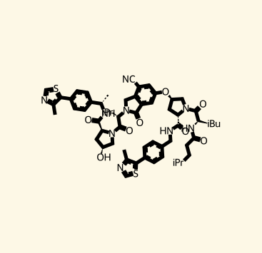 CC[C@H](C)[C@H](NC(=O)CCC(C)C)C(=O)N1C[C@H](Oc2cc(C#N)c3c(c2)C(=O)N([C@H](C(=O)N2C[C@H](O)C[C@H]2C(=O)N[C@@H](C)c2ccc(-c4scnc4C)cc2)C(C)C)C3)C[C@H]1C(=O)NCc1ccc(-c2scnc2C)cc1